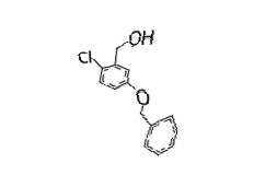 OCc1cc(OCc2ccccc2)ccc1Cl